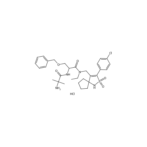 CCN(CC1=C(c2ccc(Cl)cc2)S(=O)(=O)NC12CCCC2)C(=O)C(COCc1ccccc1)NC(=O)C(C)(C)N.Cl